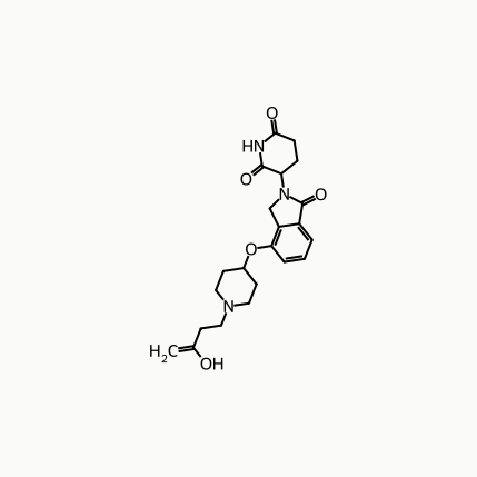 C=C(O)CCN1CCC(Oc2cccc3c2CN(C2CCC(=O)NC2=O)C3=O)CC1